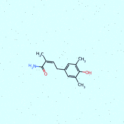 CC(=CCc1cc(C)c(O)c(C)c1)C(N)=O